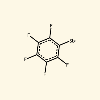 Fc1c(F)c(F)[c]([Sb])c(F)c1F